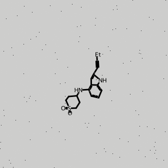 CCC#Cc1cc2c(NC3CCS(=O)(=O)CC3)cccc2[nH]1